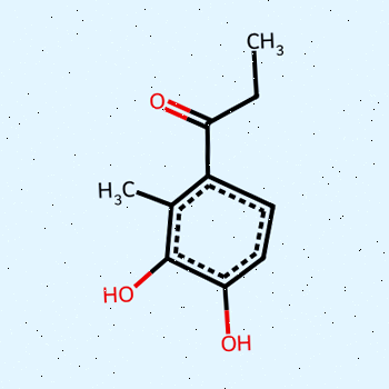 CCC(=O)c1ccc(O)c(O)c1C